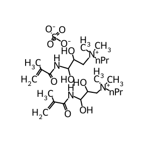 C=C(C)C(=O)NC(O)C(O)C[N+](C)(C)CCC.C=C(C)C(=O)NC(O)C(O)C[N+](C)(C)CCC.O=S(=O)([O-])[O-]